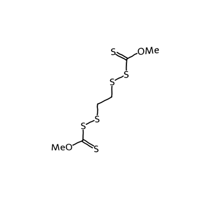 COC(=S)SSCCSSC(=S)OC